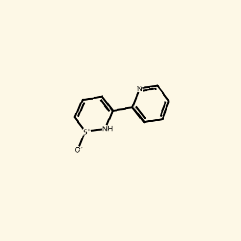 [O-][S+]1C=CC=C(c2ccccn2)N1